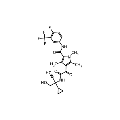 C#CC(CO)(NC(=O)C(=O)c1c(C)c(C(=O)Nc2ccc(F)c(C(F)(F)F)c2)n(C)c1C)C1CC1